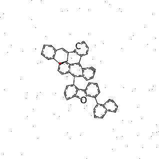 c1ccc2c(-c3cccc4oc5c(-c6cccc7ccccc67)cccc5c34)c3ccccc3c(-c3ccccc3C3=Cc4ccccc4CC3)c2c#1